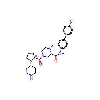 O=C1Nc2ccc(-c3ccc(Cl)cc3)cc2CN2CCN(C(=O)[C@@H]3CCCN3C3CCNCC3)CC12